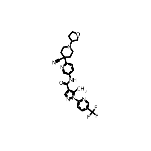 Cc1c(C(=O)Nc2ccc(C3(C#N)CCN(C4CCOC4)CC3)nc2)cnn1-c1ccc(C(F)(F)F)cn1